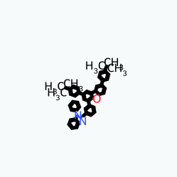 CC(C)(C)c1ccc(C2=CC3c4cc(-c5ccc(C(C)(C)C)cc5)cc(-c5cccc(-c6nc7ccccc7n6-c6ccccc6)c5)c4OC3C=C2)cc1